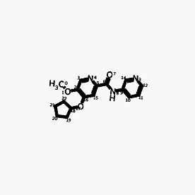 COc1cnc(C(=O)Nc2cccnc2)cc1OC1CCCC1